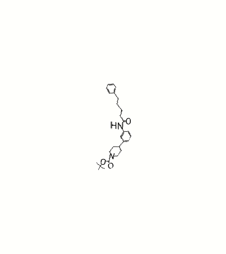 CC(C)(C)OC(=O)N1CCC(c2cccc(NC(=O)CCCCc3ccccc3)c2)CC1